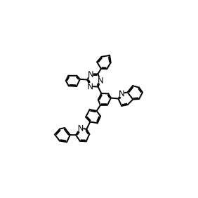 c1ccc(-c2cccc(-c3ccc(-c4cc(-c5ccc6ccccc6n5)cc(-c5nc(-c6ccccc6)nc(-c6ccccc6)n5)c4)cc3)n2)cc1